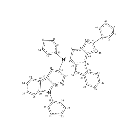 c1ccc(-c2nc3cc(N(c4ccccc4)c4ccc5c(c4)c4ccccc4n5-c4ccccc4)c4oc5ccccc5c4c3o2)cc1